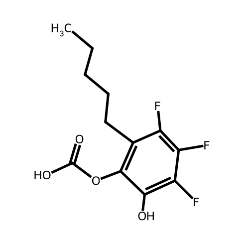 CCCCCc1c(F)c(F)c(F)c(O)c1OC(=O)O